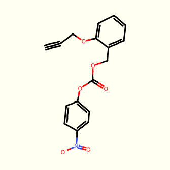 C#CCOc1ccccc1COC(=O)Oc1ccc([N+](=O)[O-])cc1